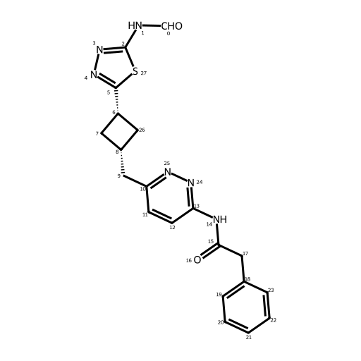 O=CNc1nnc([C@H]2C[C@@H](Cc3ccc(NC(=O)Cc4ccccc4)nn3)C2)s1